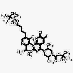 Cc1c(CCCCO[Si](C)(C)C(C)(C)C)cnc(C(C)C)c1-n1c(=O)nc(N2C[C@@H](C)N(C(=O)OC(C)(C)C)C[C@@H]2C)c2cc(F)c(Cl)nc21